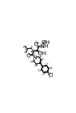 CC(C)C[C@H](C(=O)N1CC=C(c2ccc(Cl)cc2)CC1)[C@@H](O)C(=O)NO